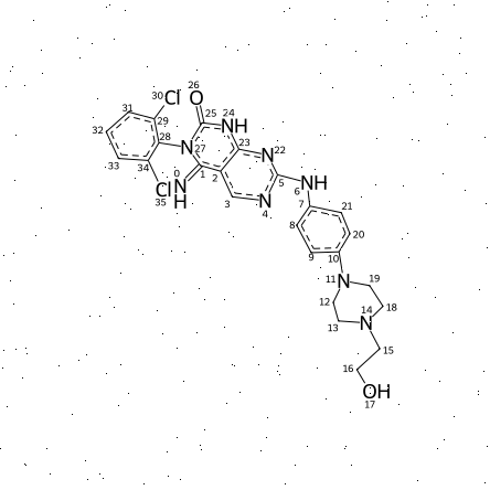 N=c1c2cnc(Nc3ccc(N4CCN(CCO)CC4)cc3)nc2[nH]c(=O)n1-c1c(Cl)cccc1Cl